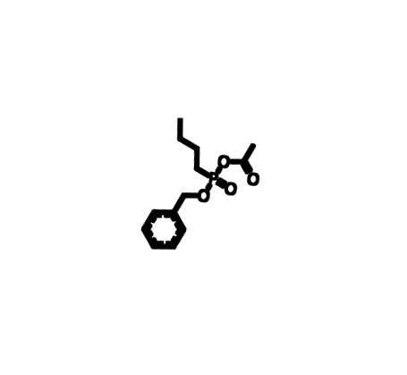 CCCCP(=O)(OCc1ccccc1)OC(C)=O